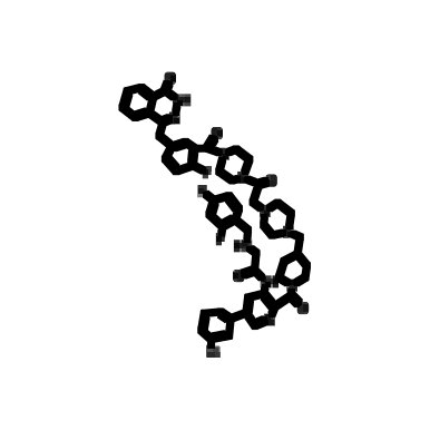 CCc1cccc(-c2cnc(C(=O)N3CCC(CN4CCN(CC(=O)N5CCN(C(=O)c6cc(Cc7n[nH]c(=O)c8ccccc78)ccc6F)CC5)CC4)CC3)c(NC(=O)CNCc3ccc(F)cc3F)c2)c1